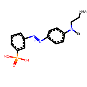 CCN(CCNC(C)=O)c1ccc(/N=N/c2cccc(P(=O)(O)O)c2)cc1